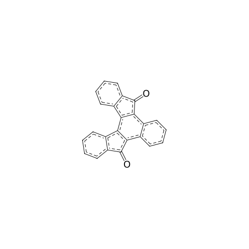 O=c1c2ccccc2c2c1c1ccccc1c1c(=O)c3ccccc3c12